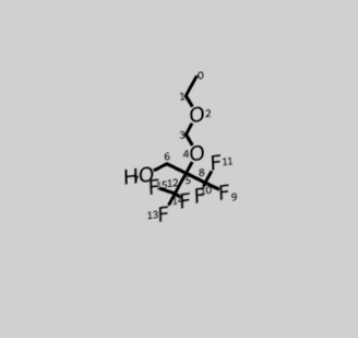 CCOCOC(CO)(C(F)(F)F)C(F)(F)F